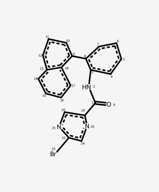 O=C(Nc1ccccc1-c1cccc2ccccc12)c1cnc(Br)cn1